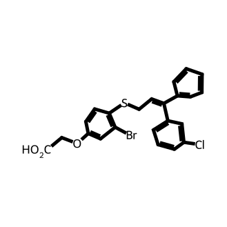 O=C(O)COc1ccc(SCC=C(c2ccccc2)c2cccc(Cl)c2)c(Br)c1